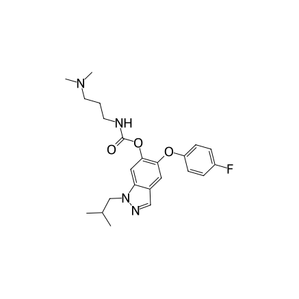 CC(C)Cn1ncc2cc(Oc3ccc(F)cc3)c(OC(=O)NCCCN(C)C)cc21